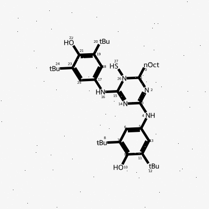 CCCCCCCCC1N=C(Nc2cc(C(C)(C)C)c(O)c(C(C)(C)C)c2)N=C(Nc2cc(C(C)(C)C)c(O)c(C(C)(C)C)c2)N1S